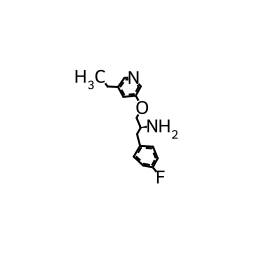 CCc1cncc(OC[C@@H](N)Cc2ccc(F)cc2)c1